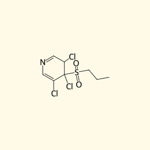 CCCS(=O)(=O)C1(Cl)C(Cl)=CN=CC1Cl